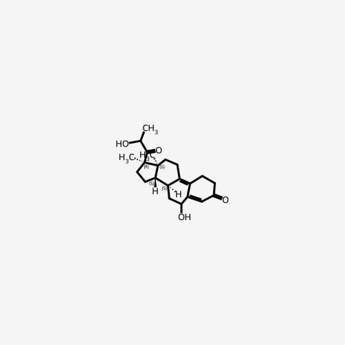 CC(O)C(=O)[C@]1(C)CC[C@H]2[C@@H]3CC(O)C4=CC(=O)CCC4=C3CC[C@@]21C